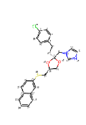 Clc1ccc(CC[C@]2(Cn3ccnc3)OC[C@@H](CSc3ccc4ccccc4c3)O2)cc1